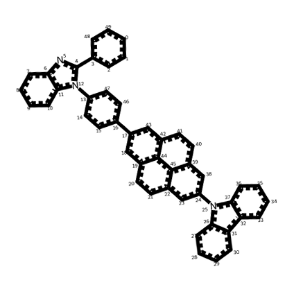 c1ccc(-c2nc3ccccc3n2-c2ccc(-c3cc4ccc5cc(-n6c7ccccc7c7ccccc76)cc6ccc(c3)c4c56)cc2)cc1